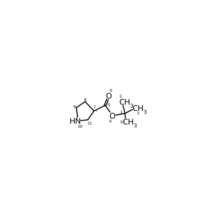 CC(C)(C)OC(=O)[C]1CCNC1